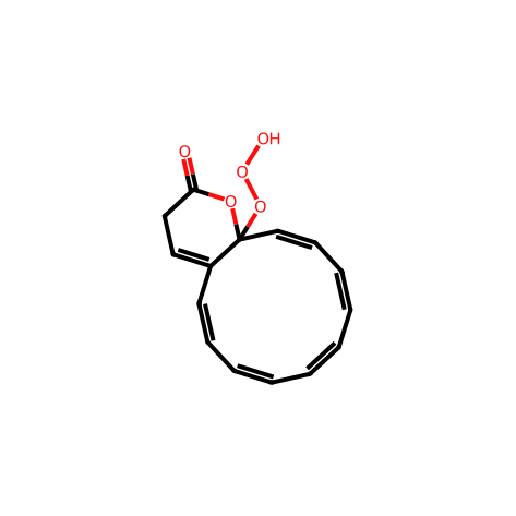 O=C1CC=C2C=CC=CC=CC=CC=CC2(OOO)O1